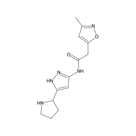 Cc1cc(CC(=O)Nc2cc(C3CCCN3)[nH]n2)on1